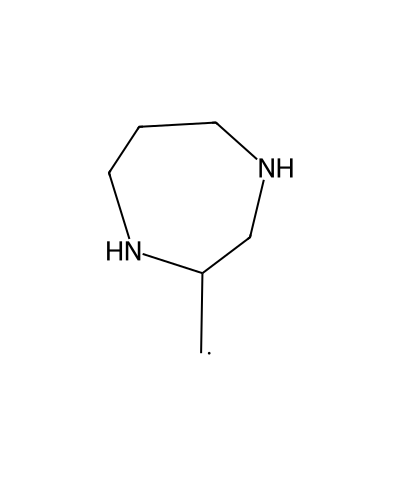 [CH2]C1CNCCCN1